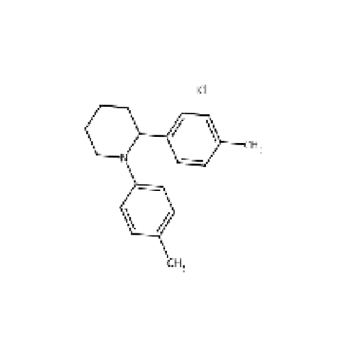 Cc1ccc(C2CCCCN2c2ccc(C)cc2)cc1.Cl